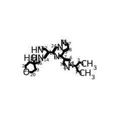 CCC(CC)n1cc(-c2nc(/C(C=N)=C/NCC3(O)CCOCC3)cn3nccc23)cn1